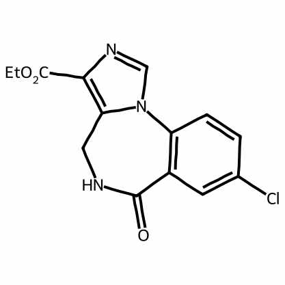 CCOC(=O)c1ncn2c1CNC(=O)c1cc(Cl)ccc1-2